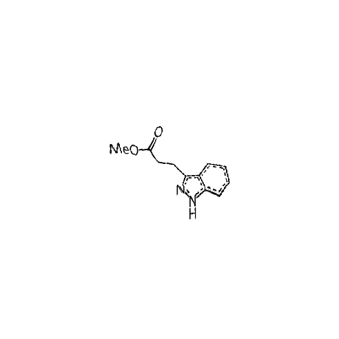 COC(=O)CCc1n[nH]c2ccccc12